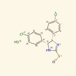 CCSC1=N[C@@H](c2ccc(Cl)cc2)[C@@H](c2ccc(Cl)cc2)N1.Cl